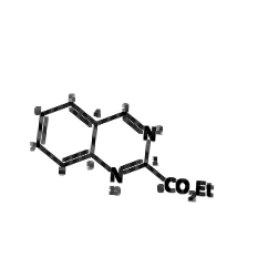 CCOC(=O)c1n[c]c2ccccc2n1